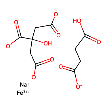 O=C([O-])CC(O)(CC(=O)[O-])C(=O)[O-].O=C([O-])CCC(=O)O.[Fe+3].[Na+]